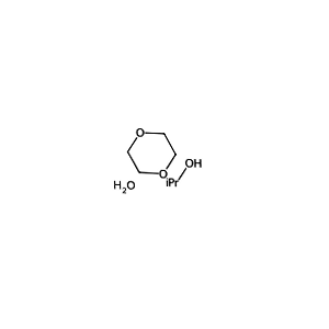 C1COCCO1.CC(C)O.O